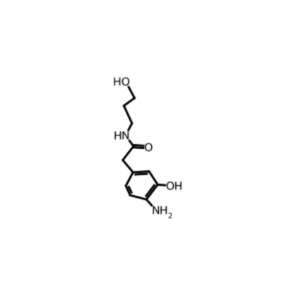 Nc1ccc(CC(=O)NCCCO)cc1O